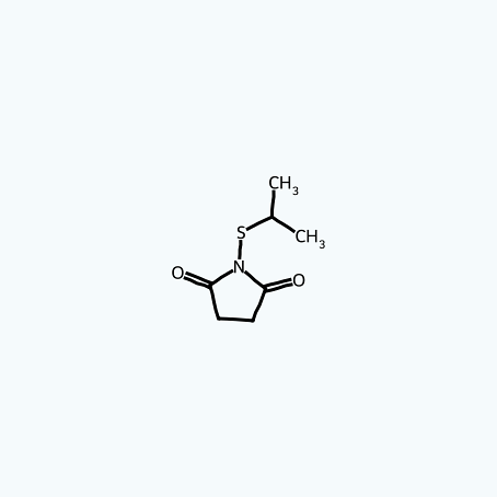 CC(C)SN1C(=O)CCC1=O